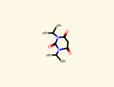 CCCC(CCC)N1C(=O)CC(=O)N(C(CCC)CCC)C1=O